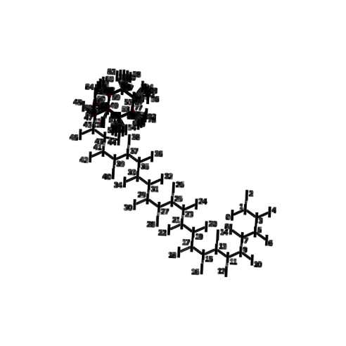 II(I)I(I)I(I)I(I)I(I)I(I)I(I)I(I)I(I)I(I)I(I)I(I)I(I)I(I)I(I)I(I)I(I)I(I)I(I)I(I)I(I)I(I)I(I)I(I)I(I)I(I)I(I)I(I)I(I)I(I)I(I)I(I)I(I)I(I)I(I)I(I)I(I)I(I)I(I)I(I)I(I)I(I)I(I)I(I)I(I)I(I)I(I)I(I)I(I)I(I)I(I)I(I)I(I)I(I)I(I)I